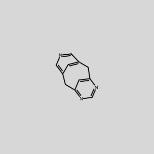 c1nc2cc(n1)Cc1cncc(c1)C2